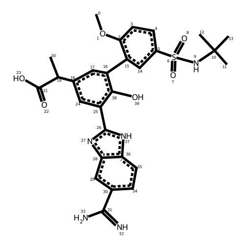 COc1ccc(S(=O)(=O)NC(C)(C)C)cc1-c1cc(C(C)C(=O)O)cc(-c2nc3cc(C(=N)N)ccc3[nH]2)c1O